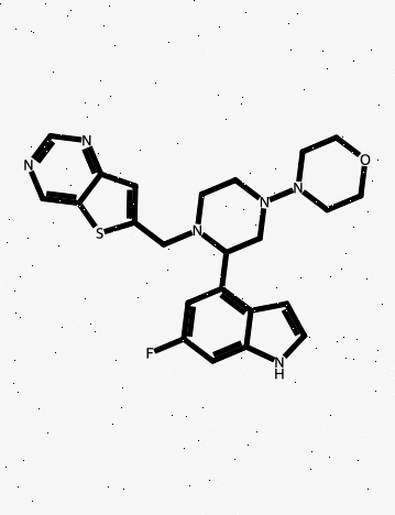 Fc1cc(C2CN(N3CCOCC3)CCN2Cc2cc3ncncc3s2)c2cc[nH]c2c1